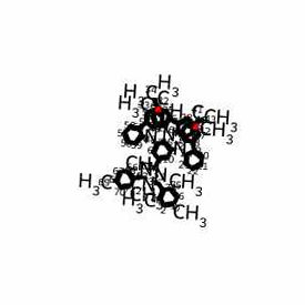 Cc1cc(C)c(-c2nc(-c3cc(-n4c5ccccc5c5ccccc54)c(-n4c5ccc(C(C)(C)C)cc5c5cc(C(C)(C)C)ccc54)c(-n4c5ccccc5c5ccccc54)c3)nc(-c3c(C)cc(C)cc3C)n2)c(C)c1